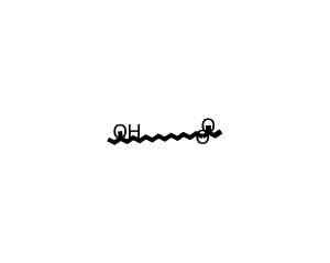 C=CC(=O)OCCCCCCCCCCCCC(O)CC